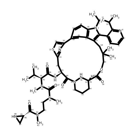 CCn1c(-c2cccnc2C(C)C)c2c3cc(ccc31)-c1csc(n1)C[C@H](NC(=O)[C@H](C(C)C)N(C)C(=O)N(C)CCN(C)C(=O)[C@@H]1CN1)C(=O)N1CCC[C@H](N1)C(=O)OCC(C)(C)C2